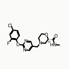 CNC(=O)[C@@H]1CN(Cc2cnc(Oc3ccc(Cl)cc3F)nc2)CCO1